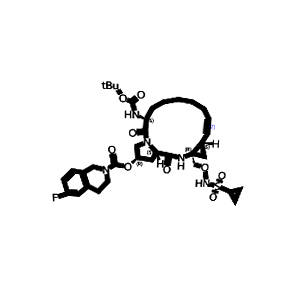 CC(C)(C)OC(=O)N[C@H]1CCCCC/C=C\[C@@H]2C[C@@]2(CONS(=O)(=O)C2CC2)NC(=O)[C@@H]2C[C@@H](OC(=O)N3CCc4cc(F)ccc4C3)CN2C1=O